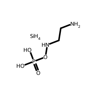 NCCNOP(=O)(O)O.[SiH4]